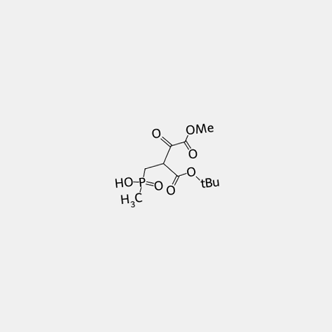 COC(=O)C(=O)C(CP(C)(=O)O)C(=O)OC(C)(C)C